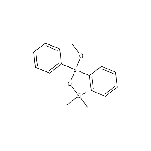 CO[Si](O[Si](C)(C)C)(c1ccccc1)c1ccccc1